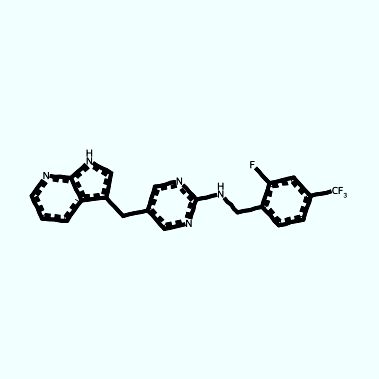 Fc1cc(C(F)(F)F)ccc1CNc1ncc(Cc2c[nH]c3ncccc23)cn1